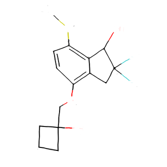 OC1c2c(SC(F)(F)F)ccc(OCC3(O)CCC3)c2CC1(F)F